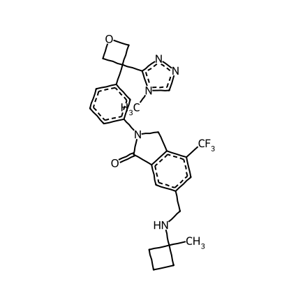 Cn1cnnc1C1(c2cccc(N3Cc4c(cc(CNC5(C)CCC5)cc4C(F)(F)F)C3=O)c2)COC1